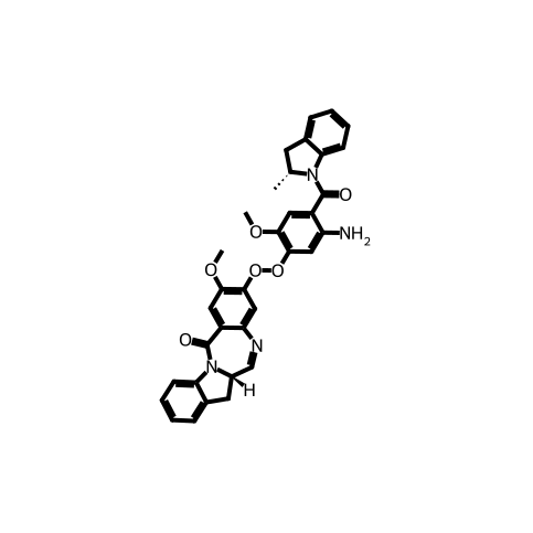 COc1cc(C(=O)N2c3ccccc3C[C@H]2C)c(N)cc1OOc1cc2c(cc1OC)C(=O)N1c3ccccc3C[C@H]1C=N2